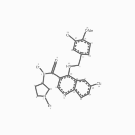 CCN1CCC(N(CC)C(=O)c2cnc3ccc(C#N)cc3c2NCc2ccc(OC)c(Cl)c2)C1